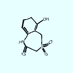 O=C1CS(=O)(=O)CC2=C(O)CCC=C2N1